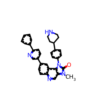 Cn1c(=O)n(-c2ccc(C3CCNCC3)cc2)c2c3cc(-c4ccc(-c5ccccc5)nc4)ccc3ncc21